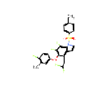 Cc1ccc(S(=O)(=O)n2ccc3c(CC(F)F)c(Oc4ccc(F)c(C#N)c4)c(F)c(F)c32)cc1